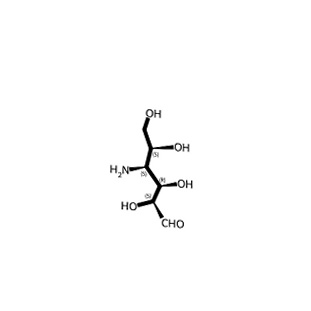 N[C@H]([C@@H](O)[C@H](O)C=O)[C@H](O)CO